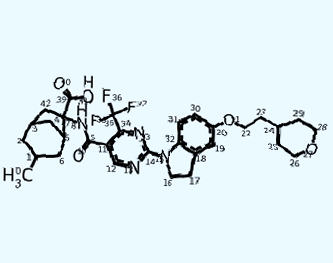 CC1CC2CC(C1)C(NC(=O)c1cnc(N3CCc4cc(OCCC5CCOCC5)ccc43)nc1C(F)(F)F)(C(=O)O)C2